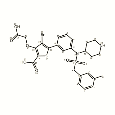 Cc1cccc(CS(=O)(=O)N(c2cccc(-c3sc(C(=O)O)c(OCC(=O)O)c3Br)c2)C2CCNCC2)c1